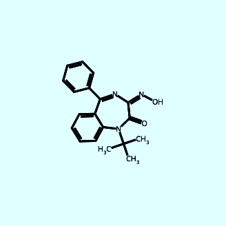 CC(C)(C)n1c(=O)/c(=N\O)nc(-c2ccccc2)c2ccccc21